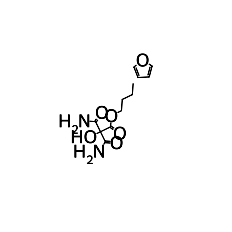 CCCCOC(=O)C(O)(C(N)=O)C(N)=O.c1ccoc1